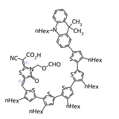 CCCCCCc1cc(-c2sc(-c3sc(-c4sc(-c5sc(-c6ccc7c(c6)C(C)(C)c6ccccc6N7CCCCCC)cc5CCCCCC)cc4CCCCCC)cc3CCCCCC)cc2CCCCCC)sc1/C=c1/s/c(=C(\C#N)C(=O)O)n(COC=O)c1=O